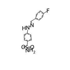 NS(=O)(=O)c1ccc(N/N=C/c2ccc(F)cc2)cc1